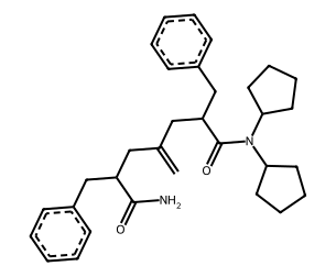 C=C(CC(Cc1ccccc1)C(N)=O)CC(Cc1ccccc1)C(=O)N(C1CCCC1)C1CCCC1